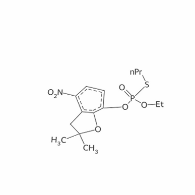 CCCSP(=O)(OCC)Oc1ccc([N+](=O)[O-])c2c1OC(C)(C)C2